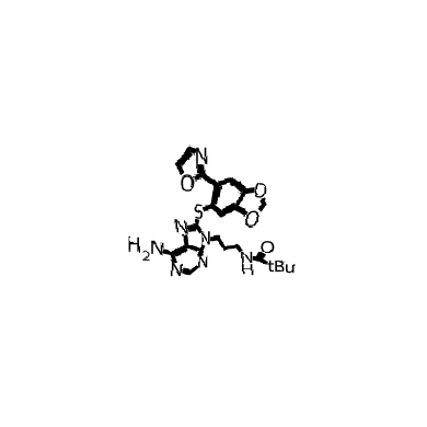 CC(C)(C)C(=O)NCCCn1c(Sc2cc3c(cc2-c2ncco2)OCO3)nc2c(N)ncnc21